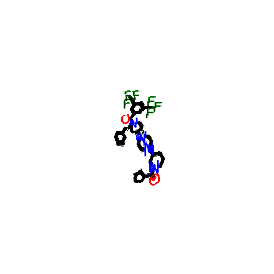 O=C(C1CCCC1)N1CCCC(N2CCN([C@H]3CCN(C(=O)c4cc(C(F)(F)F)cc(C(F)(F)F)c4)[C@H](Cc4ccccc4)C3)CC2)C1